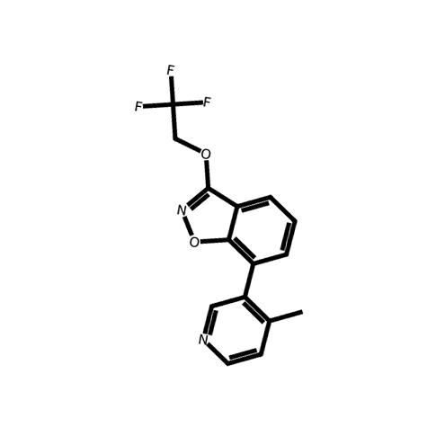 Cc1ccncc1-c1cccc2c(OCC(F)(F)F)noc12